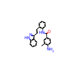 Cc1cc(C(=O)Nc2ccccc2/C=C/c2n[nH]c3ccccc23)ccc1N